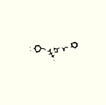 CC(C)(SBr)C(Cl)(C(=O)OCc1ccc([N+](=O)[O-])cc1)N1CC(NC(=O)COc2ccccc2)C1=O